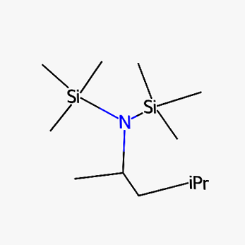 CC(C)CC(C)N([Si](C)(C)C)[Si](C)(C)C